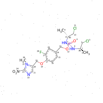 C[C@H](CCl)NP(=O)(N[C@H](C)CCl)OCc1ccc(OCc2cnc([N+](=O)[O-])n2C)c(F)c1